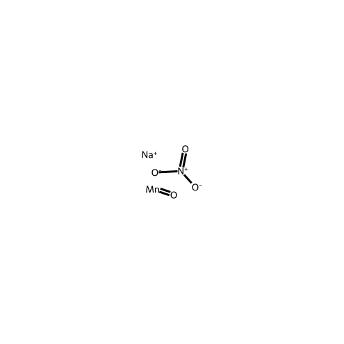 O=[N+]([O-])[O-].[Na+].[O]=[Mn]